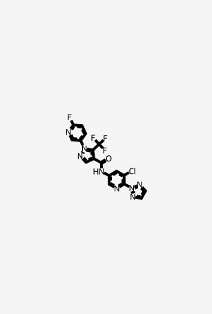 O=C(Nc1cnc(-n2nccn2)c(Cl)c1)c1cnn(-c2ccc(F)nc2)c1C(F)(F)F